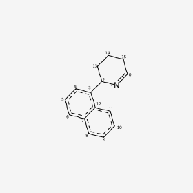 C1=NC(c2cccc3ccccc23)CCC1